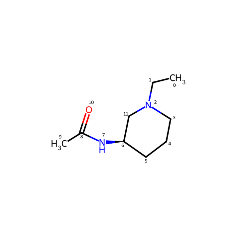 CCN1CCC[C@@H](NC(C)=O)C1